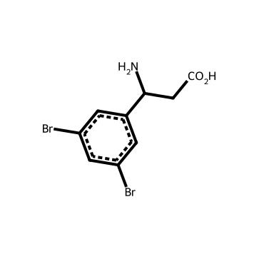 NC(CC(=O)O)c1cc(Br)cc(Br)c1